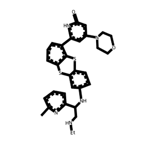 CCNCC(Nc1ccc2c(c1)Sc1cccc(-c3cc(N4CCOCC4)cc(=O)[nH]3)c1S2)c1cccc(C)n1